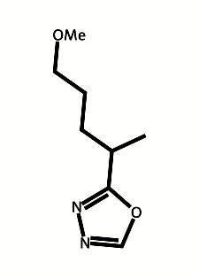 [CH2]OCCCC(C)c1nnco1